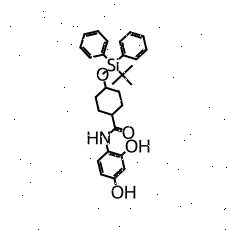 CC(C)(C)[Si](OC1CCC(C(=O)Nc2ccc(O)cc2O)CC1)(c1ccccc1)c1ccccc1